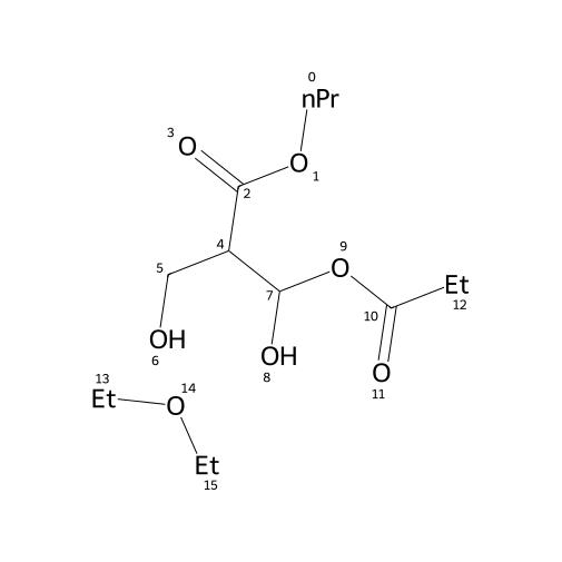 CCCOC(=O)C(CO)C(O)OC(=O)CC.CCOCC